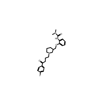 CN(C)C(=O)Nc1ccccc1OCC1CCCN(CCCC(=O)c2ccc(F)cc2)C1